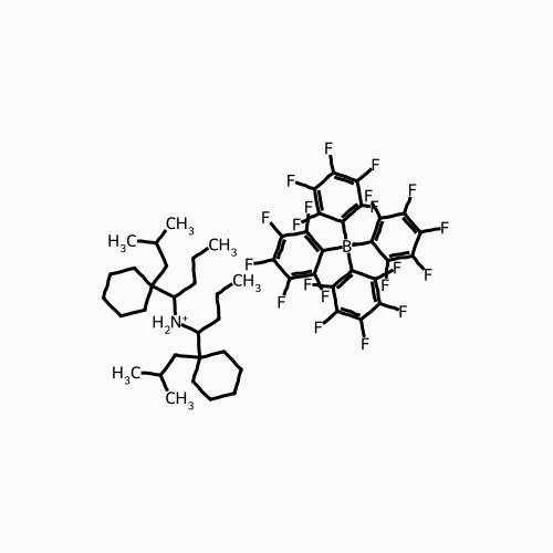 CCCC([NH2+]C(CCC)C1(CC(C)C)CCCCC1)C1(CC(C)C)CCCCC1.Fc1c(F)c(F)c([B-](c2c(F)c(F)c(F)c(F)c2F)(c2c(F)c(F)c(F)c(F)c2F)c2c(F)c(F)c(F)c(F)c2F)c(F)c1F